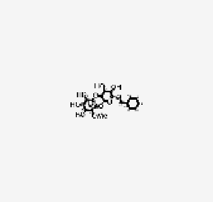 CO[C@H]1OC(OC2[C@@H](OC)O[C@@H](OCC3CCCCC3)[C@H](O)[C@H]2O)C(O)[C@@H](O)C1O